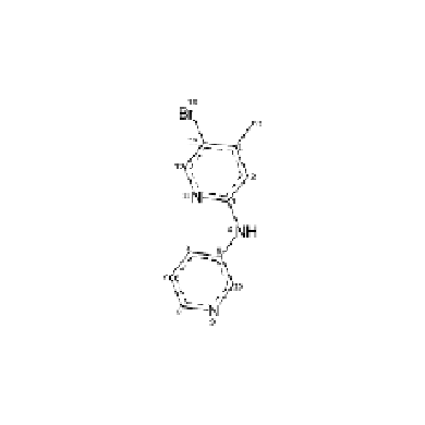 Cc1cc(Nc2cccnc2)ncc1Br